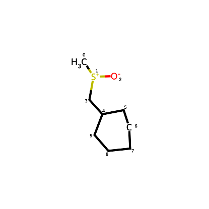 C[S+]([O-])CC1CCCCC1